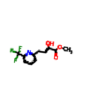 COC(=O)C(O)=CCc1cccc(C(F)(F)F)n1